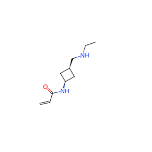 C=CC(=O)N[C@H]1C[C@@H](CNCC)C1